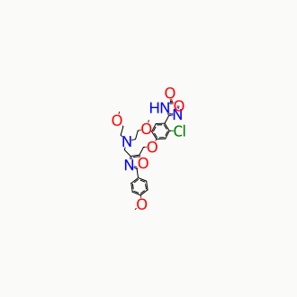 COCCN(CCOC)Cc1nc(-c2ccc(OC)cc2)oc1COc1ccc(-c2noc(=O)[nH]2)c(Cl)c1